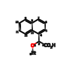 CCOC(C(=O)O)c1cccc2ccccc12